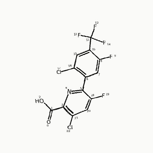 O=C(O)c1nc(-c2cc(F)c(C(F)(F)F)cc2Cl)c(F)cc1Cl